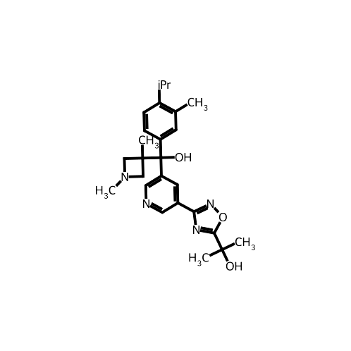 Cc1cc(C(O)(c2cncc(-c3noc(C(C)(C)O)n3)c2)C2(C)CN(C)C2)ccc1C(C)C